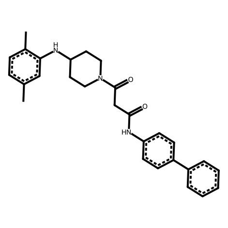 Cc1ccc(C)c(NC2CCN(C(=O)CC(=O)Nc3ccc(-c4ccccc4)cc3)CC2)c1